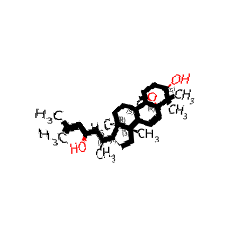 CC(C)=CC(O)C[C@@H](C)[C@H]1CC[C@@]2(C)C3C=C[C@@]45OC[C@]3(CC[C@]12C)C4CC[C@H](O)C5(C)C